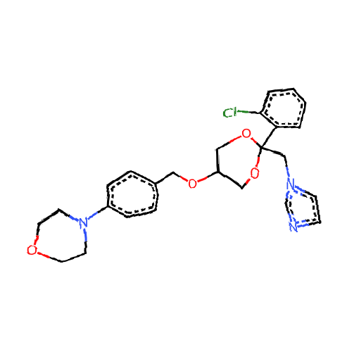 Clc1ccccc1C1(Cn2ccnc2)OCC(OCc2ccc(N3CCOCC3)cc2)CO1